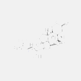 CC(C)[C@@H](C)/C=C/[C@@H](C)[C@H]1CCC(=O)[C@]23CC(=O)[C@@H]4CC(=O)CC[C@]4(C)[C@H]2CC[C@]13C